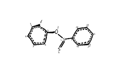 S=S(Oc1ccccc1)c1ccccc1